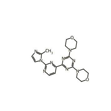 Cc1nccn1-c1nccc(-c2nc(N3CCOCC3)nc(N3CCOCC3)n2)n1